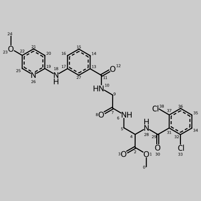 COC(=O)C(CNC(=O)CNC(=O)c1cccc(Nc2ccc(OC)cn2)c1)NC(=O)c1c(Cl)cccc1Cl